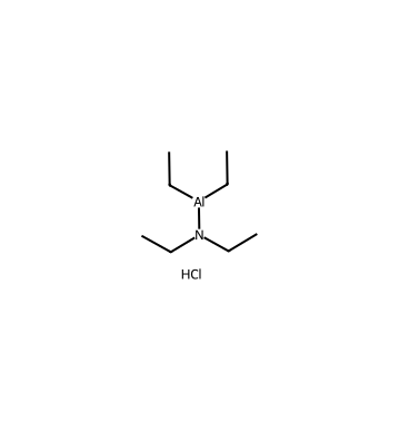 CC[N](CC)[Al]([CH2]C)[CH2]C.Cl